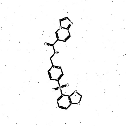 O=C(NCc1ccc(S(=O)(=O)c2cccc3c2OCO3)cc1)c1ccc2nccn2c1